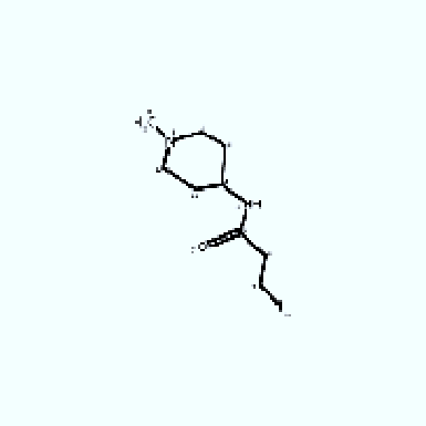 CN1CCC(NC(=O)CCI)CC1